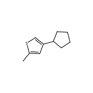 Cc1cc(C2CCCC2)cs1